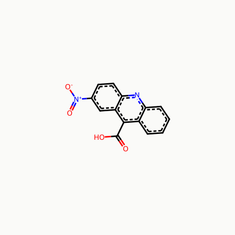 O=C(O)c1c2ccccc2nc2ccc([N+](=O)[O-])cc12